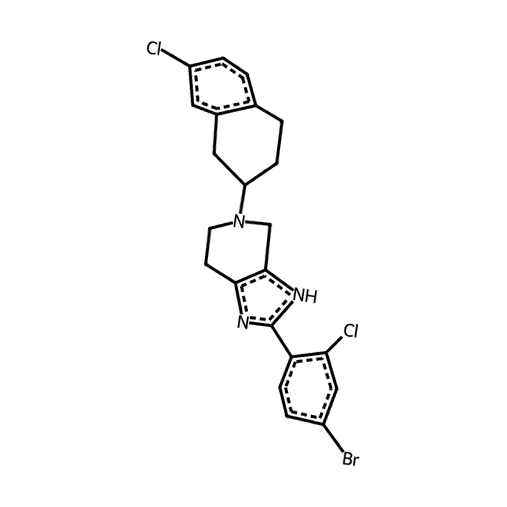 Clc1ccc2c(c1)CC(N1CCc3nc(-c4ccc(Br)cc4Cl)[nH]c3C1)CC2